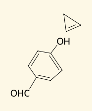 C1=CC1.O=Cc1ccc(O)cc1